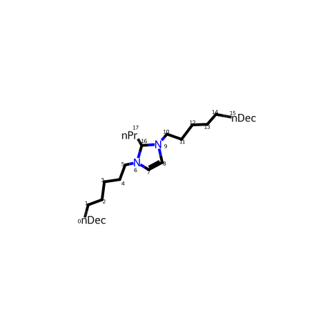 CCCCCCCCCCCCCCCN1C=CN(CCCCCCCCCCCCCCC)C1CCC